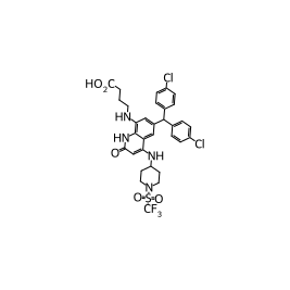 O=C(O)CCCNc1cc(C(c2ccc(Cl)cc2)c2ccc(Cl)cc2)cc2c(NC3CCN(S(=O)(=O)C(F)(F)F)CC3)cc(=O)[nH]c12